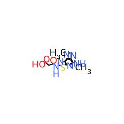 CNc1nc2sc(NC(=O)CC(=O)O)nc2c2c1ncn2C